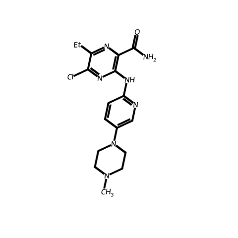 CCc1nc(C(N)=O)c(Nc2ccc(N3CCN(C)CC3)cn2)nc1Cl